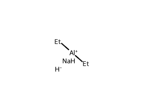 C[CH2][Al+][CH2]C.[H-].[NaH]